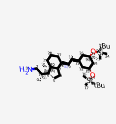 C[C@H](CN)[C@H]1CCC2/C(=C/C=C3C[C@@H](O[Si](C)(C)C(C)(C)C)C[C@H](O[Si](C)(C)C(C)(C)C)C3)CCC[C@@]21C